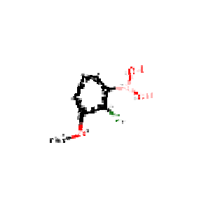 CCCCOc1cccc(B(O)O)c1Cl